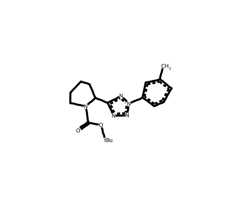 Cc1cccc(-n2nnc(C3CCCCN3C(=O)OC(C)(C)C)n2)c1